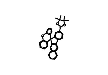 CC1(C)OB(c2ccc3c(c2)C2(c4ccccc4Oc4ccccc42)c2cc4ccccc4cc2-3)OC1(C)C